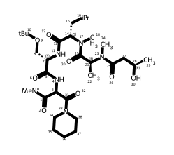 CNC(=O)C(NC(=O)[C@H](COC(C)(C)C)NC(=O)[C@H](CC(C)C)N(C)C(=O)[C@H](C)N(C)C(=O)C[C@@H](C)O)C(=O)N1CCCCC1